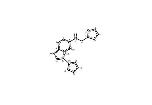 c1csc(CNc2ccc3ncc(-c4cccs4)n3n2)c1